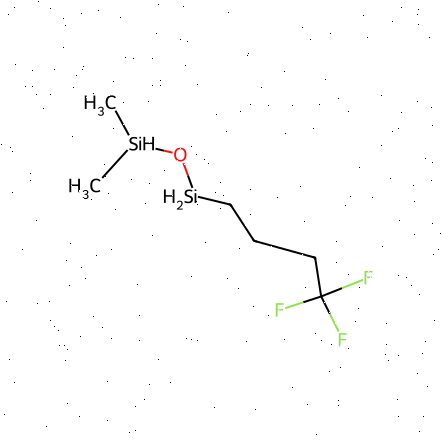 C[SiH](C)O[SiH2]CCCC(F)(F)F